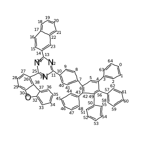 c1ccc(-c2cc(-c3ccc(-c4nc(-c5ccc6ccccc6c5)nc(-c5cccc6oc7ccccc7c56)n4)cc3)c(-c3ccccc3)c(-c3ccccc3)c2-c2ccccc2)cc1